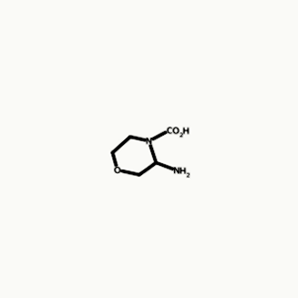 NC1COCCN1C(=O)O